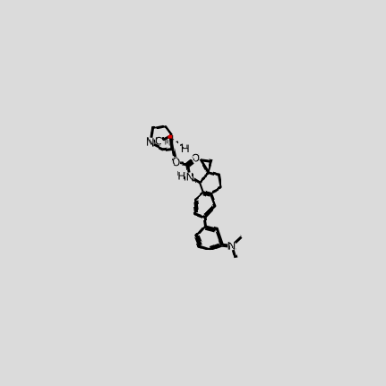 CN(C)c1cccc(-c2ccc3c(c2)CCC2(CC2)C3NC(=O)O[C@H]2CN3CCC2CC3)c1